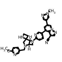 COc1ccc(CN2CC3(CCN3)[C@H]3[C@@H]2CN3c2ccc(-c3cc(-c4cnn(C)c4)cn4ncc(C#N)c34)cn2)cn1